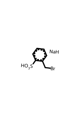 O=S(=O)(O)c1ccccc1CBr.[NaH]